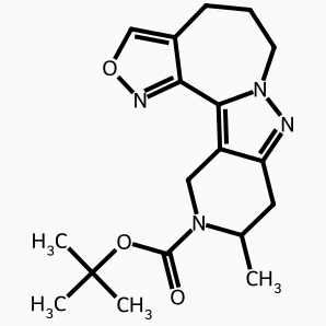 CC1Cc2nn3c(c2CN1C(=O)OC(C)(C)C)-c1nocc1CCC3